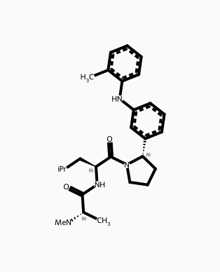 CN[C@@H](C)C(=O)N[C@@H](CC(C)C)C(=O)N1CCC[C@H]1c1cccc(Nc2ccccc2C)c1